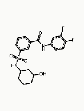 O=C(Nc1ccc(F)c(F)c1)c1cccc(S(=O)(=O)NC2CCCC(O)C2)c1